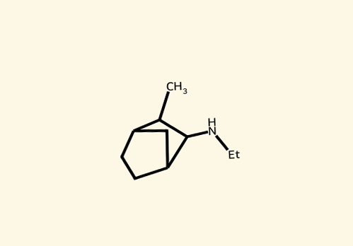 CCNC1C2CCC(C2)C1C